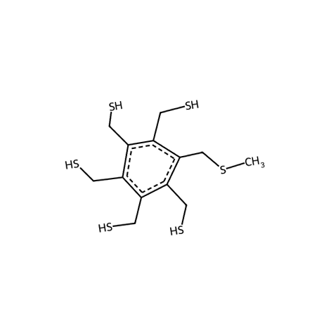 CSCc1c(CS)c(CS)c(CS)c(CS)c1CS